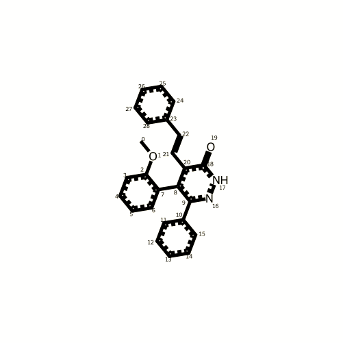 COc1ccccc1-c1c(-c2ccccc2)n[nH]c(=O)c1C=Cc1ccccc1